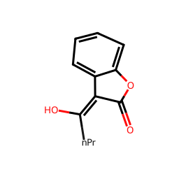 CCCC(O)=C1C(=O)Oc2ccccc21